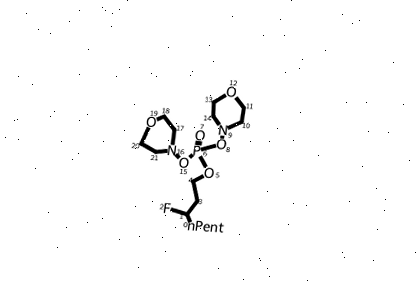 CCCCCC(F)CCOP(=O)(ON1CCOCC1)ON1CCOCC1